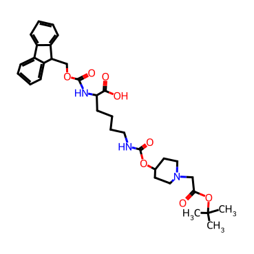 CC(C)(C)OC(=O)CN1CCC(OC(=O)NCCCCC(NC(=O)OCC2c3ccccc3-c3ccccc32)C(=O)O)CC1